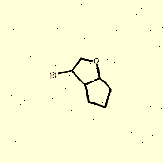 CCC1COC2CCCC12